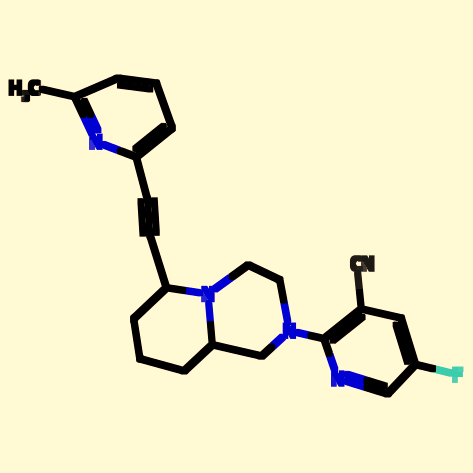 Cc1cccc(C#CC2CCCC3CN(c4ncc(F)cc4C#N)CCN23)n1